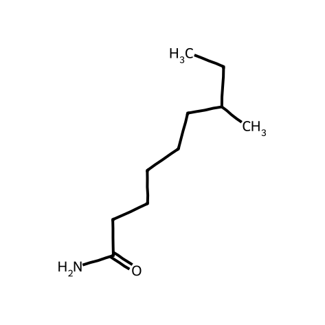 CCC(C)CCCCCC(N)=O